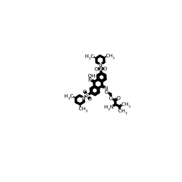 CC(C)C(N)C(=O)OCON=C1c2ccc(S(=O)(=O)N3C[C@H](C)C[C@H](C)C3)cc2C(=NO)c2cc(S(=O)(=O)N3C[C@H](C)C[C@H](C)C3)ccc21